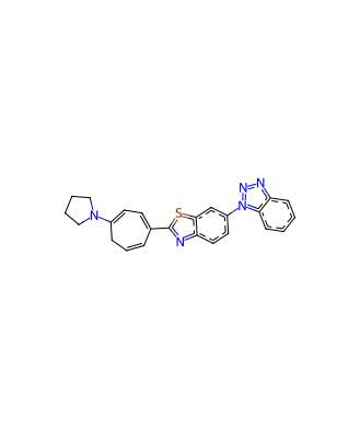 C1=CC(c2nc3ccc(-n4nnc5ccccc54)cc3s2)=CC=C(N2CCCC2)C1